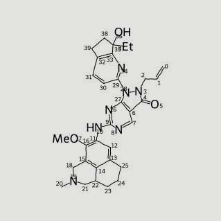 C=CCn1c(=O)c2cnc(Nc3cc4c5c(c3OC)CN(C)CC5CCC4)nc2n1-c1ccc2c(n1)C(O)(CC)CC2